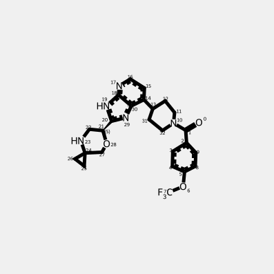 O=C(c1ccc(OC(F)(F)F)cc1)N1CCC(c2ccnc3[nH]c([C@@H]4CNC5(CC5)CO4)nc23)CC1